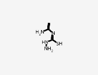 C=C(N)/N=C(/S)NN